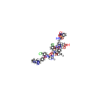 COC[C@H](NC(=O)[C@H](C)NCc1ccc(Cl)cc1Oc1ccc(-c2cnc(CN3CCCC3)n2C)cc1)C(=O)N(C)[C@H](CC(=O)NC[C@H](CCCCNS(=O)(=O)c1ccccc1[N+](=O)[O-])N(C)C(=O)[C@@H](CC(=O)O)Cc1ccccc1)Cc1ccc(Cl)cc1